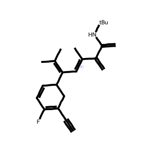 C#CC1=C(F)C=CC(C(/C=C(\C)C(=C)C(=C)NC(C)(C)C)=C(C)C)C1